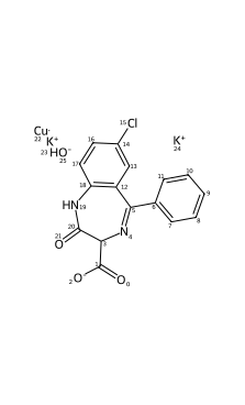 O=C([O-])C1N=C(c2ccccc2)c2cc(Cl)ccc2NC1=O.[Cu].[K+].[K+].[OH-]